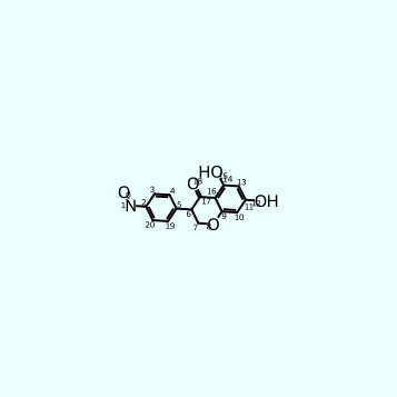 O=Nc1ccc(C2COc3cc(O)cc(O)c3C2=O)cc1